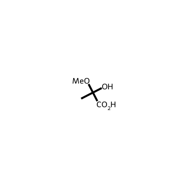 COC(C)(O)C(=O)O